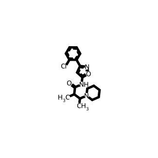 CC(C(=O)Nc1cc(-c2ccccc2Cl)no1)C(C)N1CCCCC1